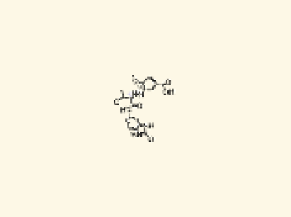 COc1ccc(C(=O)O)cc1N/N=C(/C(C)=O)C(=O)Nc1ccc2[nH]c(=O)[nH]c2c1